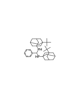 CC(C)(C)C12CC3CC(CC(PC(PC45CC6CC(C4)CC(C(C)(C)C)(C6)C5)c4ccccc4)(C3)C1)C2